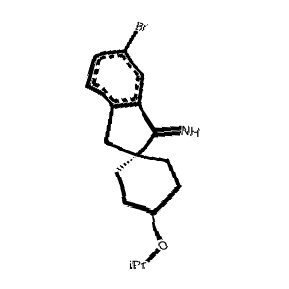 CC(C)O[C@H]1CC[C@]2(CC1)Cc1ccc(Br)cc1C2=N